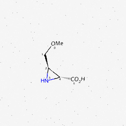 COC[C@@H]1N[C@H]1C(=O)O